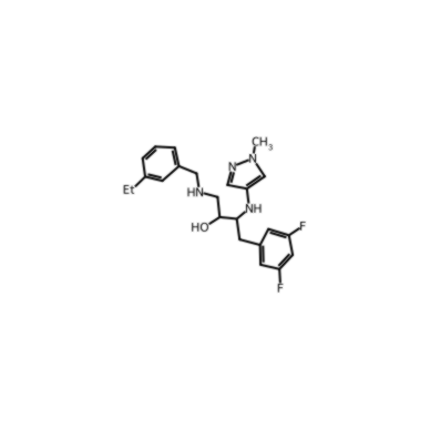 CCc1cccc(CNCC(O)C(Cc2cc(F)cc(F)c2)Nc2cnn(C)c2)c1